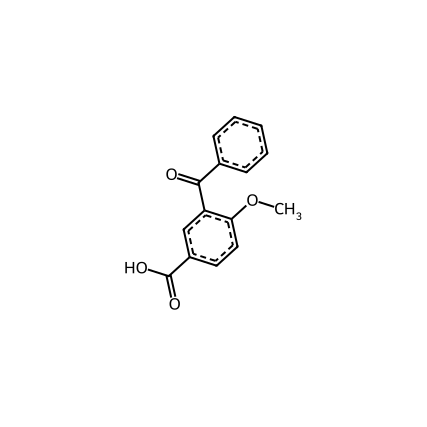 COc1ccc(C(=O)O)cc1C(=O)c1ccccc1